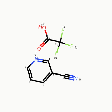 N#Cc1cccnc1.O=C(O)C(F)(F)F